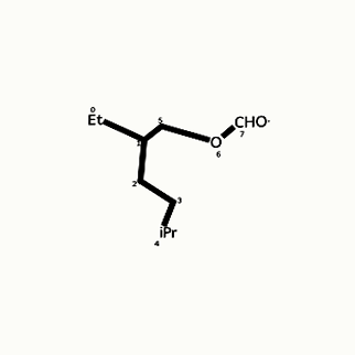 CCC(CCC(C)C)CO[C]=O